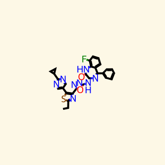 CCc1nc(-c2nnc(N[C@H]3N=C(c4ccccc4)c4cccc(F)c4NC3=O)o2)c(-c2cnc(C3CC3)nc2)s1